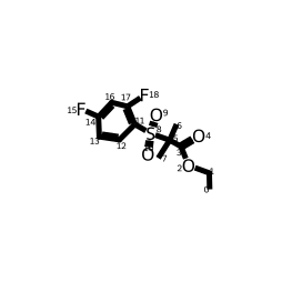 CCOC(=O)C(C)(C)S(=O)(=O)c1ccc(F)cc1F